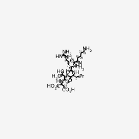 CC(C)C[C@H](NC(=O)[C@H](CCCNC(=N)N)NC(=O)[C@@H](N)CCCCN)C(=O)N[C@H](C(=O)N[C@@H](CC(=O)O)C(=O)O)[C@@H](C)O